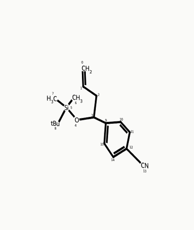 C=CCC(O[Si](C)(C)C(C)(C)C)c1ccc(C#N)cc1